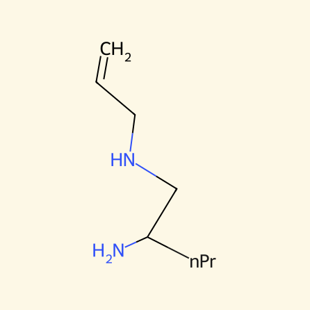 C=CCNCC(N)CCC